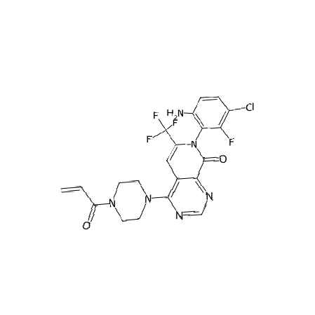 C=CC(=O)N1CCN(c2ncnc3c(=O)n(-c4c(N)ccc(Cl)c4F)c(C(F)(F)F)cc23)CC1